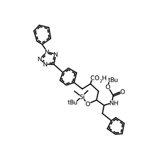 CC(C)(C)OC(=O)NC(Cc1ccccc1)C(CC(Cc1ccc(-c2nnn(-c3ccccc3)n2)cc1)C(=O)O)O[Si](C)(C)C(C)(C)C